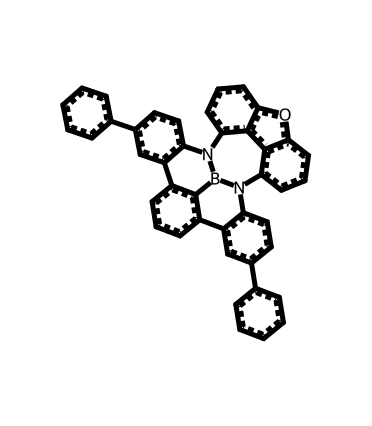 c1ccc(-c2ccc3c(c2)-c2cccc4c2B2N3c3cccc5oc6cccc(c6c35)N2c2ccc(-c3ccccc3)cc2-4)cc1